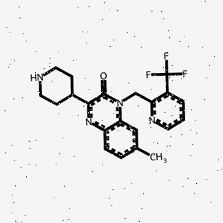 Cc1ccc2nc(C3CCNCC3)c(=O)n(Cc3ncccc3C(F)(F)F)c2c1